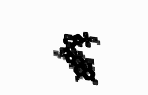 C[C@@H]1C[C@H]2[C@@H]3C[C@H](F)C4=CC(=O)C=C[C@]4(C)[C@@]3(F)[C@@H](O)C[C@]2(C)[C@]1(OC(=O)c1ccc(S(C)(=O)=O)s1)C(=O)OCC#N